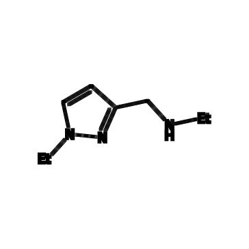 CCNCc1ccn(CC)n1